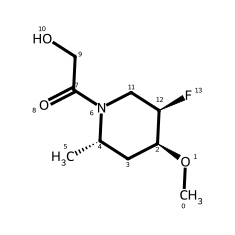 CO[C@H]1C[C@H](C)N(C(=O)CO)C[C@H]1F